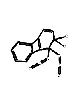 O=C=NC1(N=C=O)C2=C(C=CC1(Cl)Cl)c1ccccc12